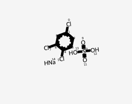 Clc1ccc(Cl)c(Cl)c1.O=S(=O)(O)O.[NaH]